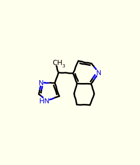 CC(c1c[nH]cn1)c1ccnc2c1CCCC2